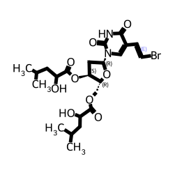 CC(C)CC(O)C(=O)OC[C@H]1O[C@@H](n2cc(/C=C/Br)c(=O)[nH]c2=O)C[C@@H]1OC(=O)C(O)CC(C)C